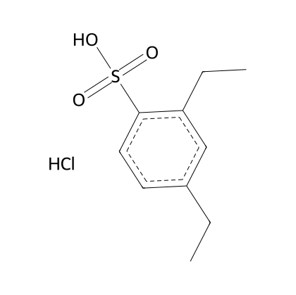 CCc1ccc(S(=O)(=O)O)c(CC)c1.Cl